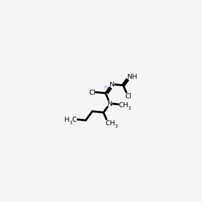 CCCC(C)N(C)/C(Cl)=N\C(=N)Cl